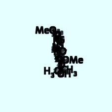 COc1ccc2sc(Sc3nccn(-c4ccc(OCC(C)(C)O)c(OC)c4)c3=O)nc2c1